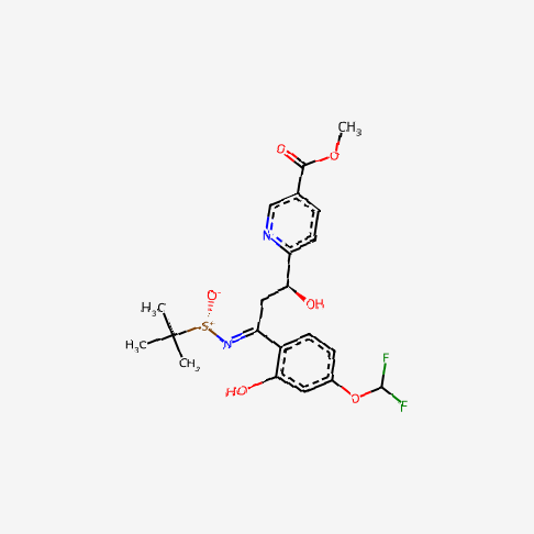 COC(=O)c1ccc([C@@H](O)C/C(=N\[S@@+]([O-])C(C)(C)C)c2ccc(OC(F)F)cc2O)nc1